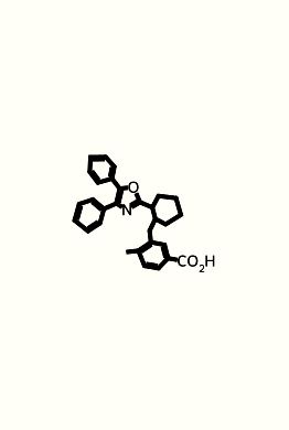 Cc1ccc(C(=O)O)cc1CC1CCCCC1c1nc(-c2ccccc2)c(-c2ccccc2)o1